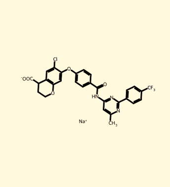 Cc1cc(NC(=O)c2ccc(Oc3cc4c(cc3Cl)C(C(=O)[O-])CCO4)cc2)nc(-c2ccc(C(F)(F)F)cc2)n1.[Na+]